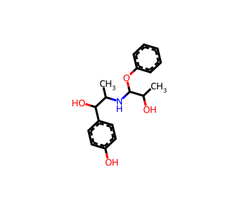 CC(O)C(NC(C)C(O)c1ccc(O)cc1)Oc1ccccc1